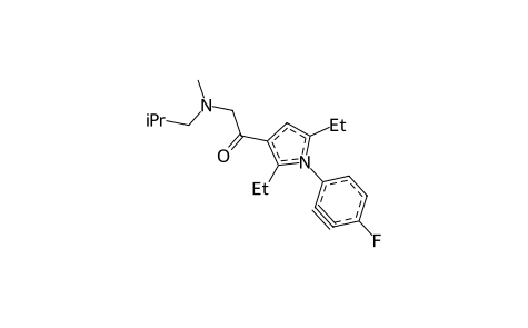 CCc1cc(C(=O)CN(C)CC(C)C)c(CC)n1-c1c#cc(F)cc1